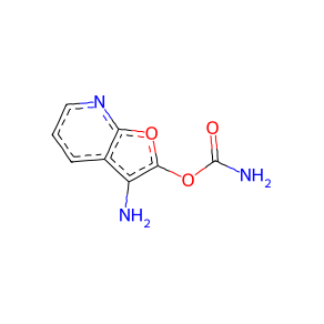 NC(=O)Oc1oc2ncccc2c1N